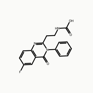 O=C(O)NCCc1nc2ccc(F)cc2c(=O)n1-c1ccccc1